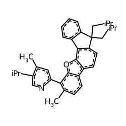 Cc1cc(-c2c(C)ccc3c2oc2c4c(ccc23)C(CC(C)C)(CC(C)C)c2ccccc2-4)ncc1C(C)C